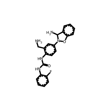 NCc1cc(N2Oc3ccccc3C2N)ccc1NC(=O)Nc1ccccc1F